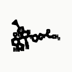 C=CC(=O)N1CC2(CCN(c3nc4c(c(-c5c(C)ccc6[nH]ncc56)c3C#N)C[C@@H](C3CC3)C4)C2)C1